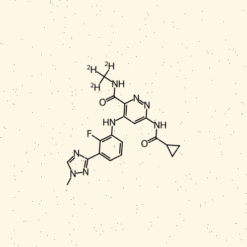 [2H]C([2H])([2H])NC(=O)c1nnc(NC(=O)C2CC2)cc1Nc1cccc(-c2ncn(C)n2)c1F